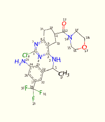 CC(Nc1nc(Cl)nc2c1CC(C(=O)N1CCOCC1)CC2)c1cc(N)cc(C(F)(F)F)c1